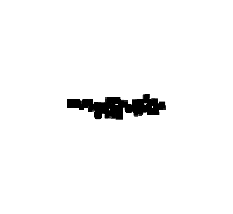 CC(C)C[C@@H](COc1ccc(-c2ccc(F)cc2F)nn1)Nc1ccc(C(=O)NCCC(=O)O)cc1